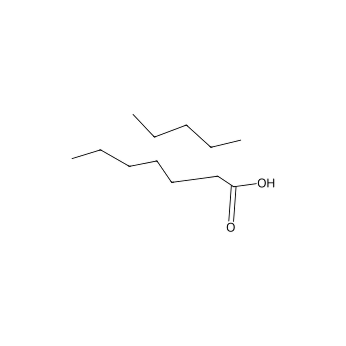 CCCCC.CCCCCCC(=O)O